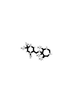 C=C1COCOC(C)C1(C)OCC1COC(C)(C)CN1CC